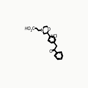 Cl.O=C(O)CCN1CCOC(c2ccc(CC(=O)c3ccccc3)cc2)C1